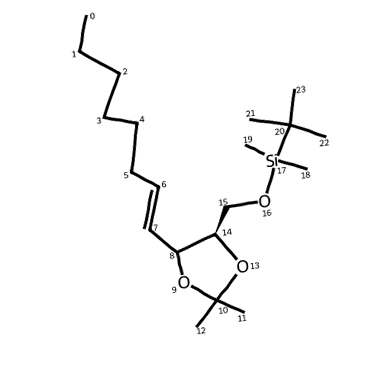 CCCCCC/C=C/C1OC(C)(C)O[C@@H]1CO[Si](C)(C)C(C)(C)C